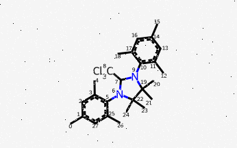 Cc1cc(C)c(N2C(C(Cl)(Cl)Cl)N(c3c(C)cc(C)cc3C)C(C)(C)C2(C)C)c(C)c1